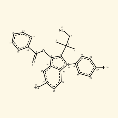 CC(C)(CC#N)c1c(OC(=O)c2ccccc2)c2cc(O)ccc2n1-c1ccc(F)cc1